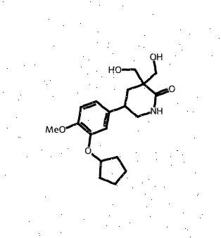 COc1ccc(C2CNC(=O)C(CO)(CO)C2)cc1OC1CCCC1